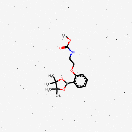 COC(=O)NCCOc1ccccc1B1OC(C)(C)C(C)(C)O1